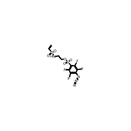 C=CS(=O)(=O)NCCOS(=O)(=O)c1c(F)c(F)c(N=[N+]=[N-])c(F)c1F